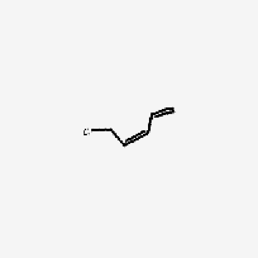 C=C/C=C\CCl